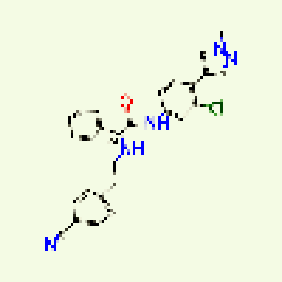 Cn1cc(-c2ccc(NC(=O)[C@@H](NCCc3ccc(C#N)cc3)c3ccccc3)cc2Cl)cn1